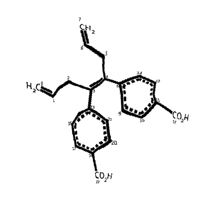 C=CCC(=C(CC=C)c1ccc(C(=O)O)cc1)c1ccc(C(=O)O)cc1